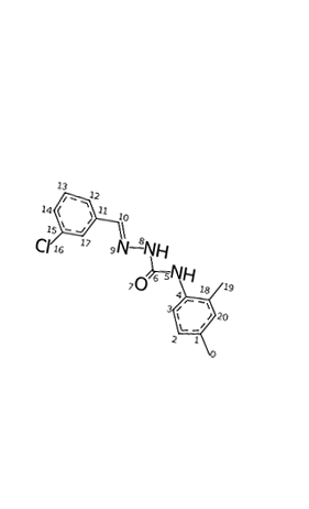 Cc1ccc(NC(=O)N/N=C/c2cccc(Cl)c2)c(C)c1